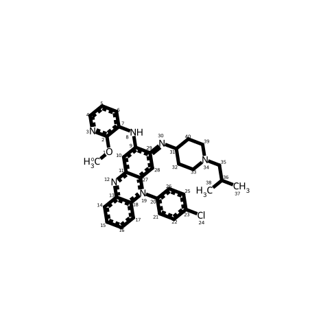 COc1ncccc1Nc1cc2nc3ccccc3n(-c3ccc(Cl)cc3)c-2c/c1=N\C1CCN(CC(C)C)CC1